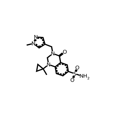 Cn1cc(CN2CN(C3(C)CC3)c3ccc(S(N)(=O)=O)cc3C2=O)cn1